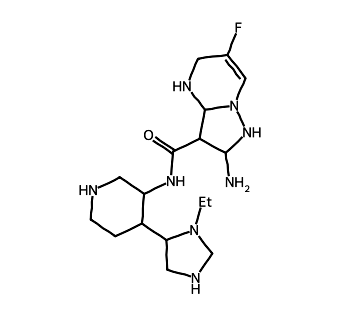 CCN1CNCC1C1CCNCC1NC(=O)C1C(N)NN2C=C(F)CNC12